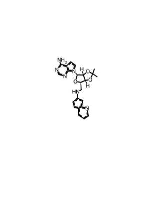 CC1(C)O[C@@H]2[C@H](O1)[C@@H](CNc1ccc3cccnc3c1)O[C@H]2n1ccc2c(N)ncnc21